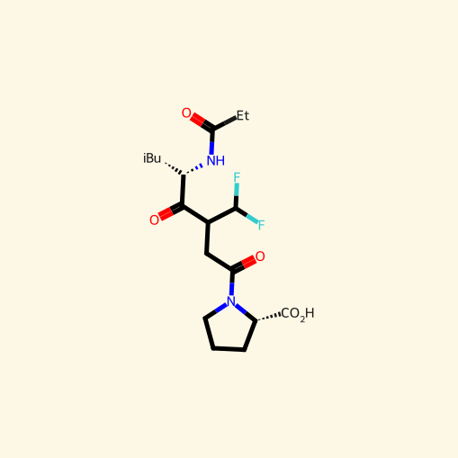 CCC(=O)N[C@H](C(=O)C(CC(=O)N1CCC[C@H]1C(=O)O)C(F)F)[C@@H](C)CC